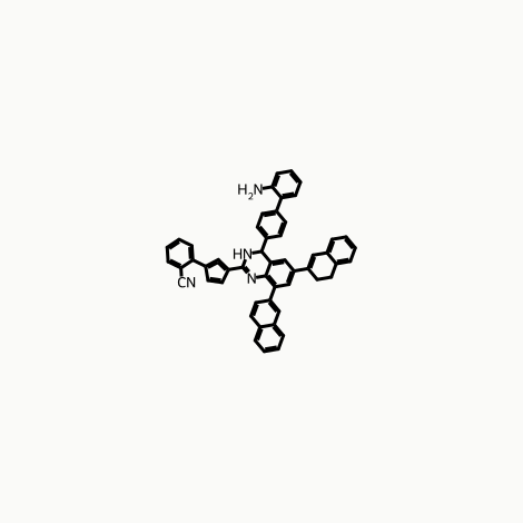 N#Cc1ccccc1C1=C=C(C2=Nc3c(-c4ccc5ccccc5c4)cc(C4=Cc5ccccc5CC4)cc3C(c3ccc(-c4ccccc4N)cc3)N2)C=C1